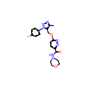 Cc1nnn(-c2ccc(F)cc2)c1COc1ccc(C(=O)NN2CCOCC2)nn1